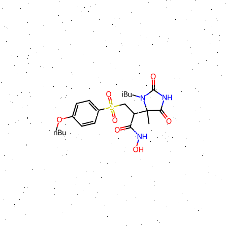 CCCCOc1ccc(S(=O)(=O)CC(C(=O)NO)C2(C)C(=O)NC(=O)N2C(C)CC)cc1